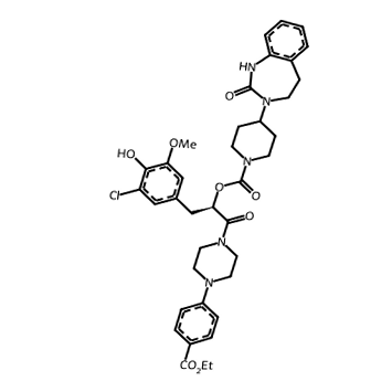 CCOC(=O)c1ccc(N2CCN(C(=O)[C@@H](Cc3cc(Cl)c(O)c(OC)c3)OC(=O)N3CCC(N4CCc5ccccc5NC4=O)CC3)CC2)cc1